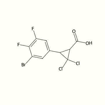 O=C(O)C1C(c2cc(F)c(F)c(Br)c2)C1(Cl)Cl